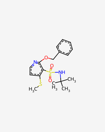 CSc1ccnc(OCc2ccccc2)c1S(=O)(=O)NC(C)(C)C